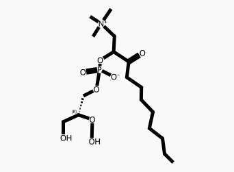 CCCCCCCCC(=O)C(C[N+](C)(C)C)OP(=O)([O-])OC[C@@H](CO)OO